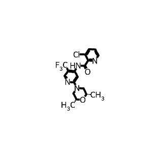 C[C@@H]1CN(c2cc(NC(=O)c3ncccc3Cl)c(C(F)(F)F)cn2)C[C@H](C)O1